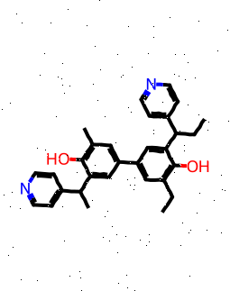 CCc1cc(-c2cc(C)c(O)c(C(C)c3ccncc3)c2)cc(C(CC)c2ccncc2)c1O